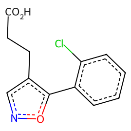 O=C(O)CCc1cnoc1-c1ccccc1Cl